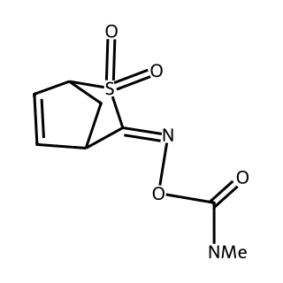 CNC(=O)ON=C1C2C=CC(C2)S1(=O)=O